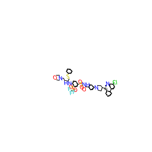 N#C[C@H](c1ccccc1-c1ccc(Cl)cc1)C1CCN(c2ccc(C(=O)NS(=O)(=O)c3ccc(NC(CCN4CCOCC4)CSc4ccccc4)c(S(=O)(=O)C(F)(F)F)c3)cc2)CC1